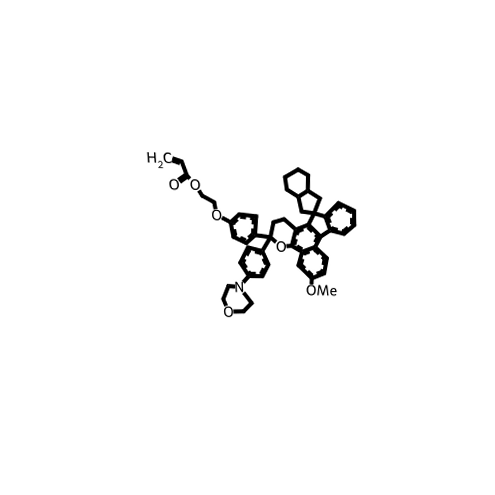 C=CC(=O)OCCOc1ccc(C2(c3ccc(N4CCOCC4)cc3)CCc3c4c(c5ccc(OC)cc5c3O2)-c2ccccc2C42CC3CCCCC3C2)cc1